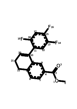 COC(=O)c1ccc2c(c1)C(c1cc(F)c(F)cc1F)=CCC2